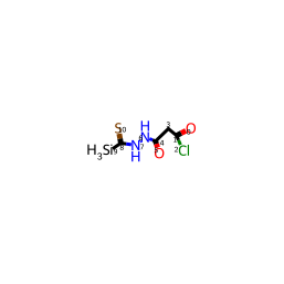 O=C(Cl)CC(=O)NNC([SiH3])=S